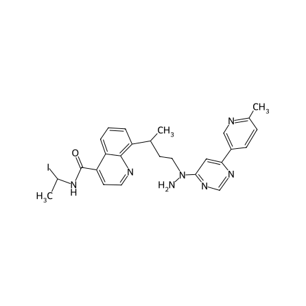 Cc1ccc(-c2cc(N(N)CCC(C)c3cccc4c(C(=O)NC(C)I)ccnc34)ncn2)cn1